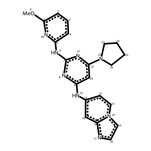 COc1cccc(Nc2nc(Nc3ccn4ccnc4c3)cc(N3CCCC3)n2)n1